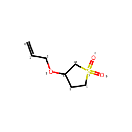 C=CCOC1CCS(=O)(=O)C1